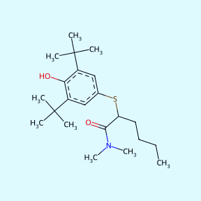 CCCCC(Sc1cc(C(C)(C)C)c(O)c(C(C)(C)C)c1)C(=O)N(C)C